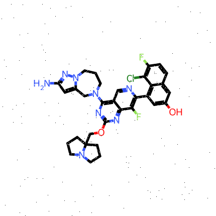 Nc1cc2n(n1)CCCN(c1nc(OCC34CCCN3CCC4)nc3c(F)c(-c4cc(O)cc5ccc(F)c(Cl)c45)ncc13)C2